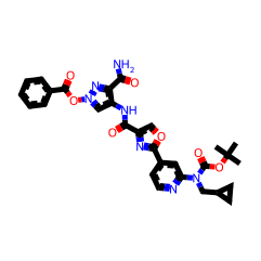 CC(C)(C)OC(=O)N(CC1CC1)c1cc(-c2nc(C(=O)Nc3cn(OC(=O)c4ccccc4)nc3C(N)=O)co2)ccn1